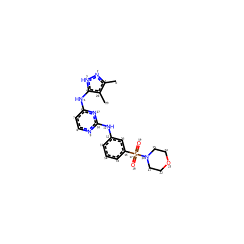 Cc1n[nH]c(Nc2ccnc(Nc3cccc(S(=O)(=O)N4CCOCC4)c3)n2)c1C